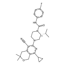 CC(C)[C@@H]1CN(c2nc(C3CC3)c3c(c2C#N)CC(C)(C)OC3)CCN1C(=O)Nc1ccc(F)cc1